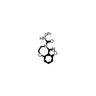 CCCNC(=O)N1CCOc2cccc3onc1c23